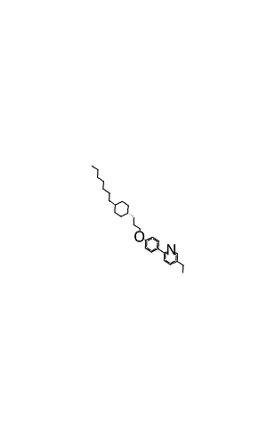 CCCCCCC[C@H]1CC[C@H](CCCOc2ccc(-c3ccc(CC)cn3)cc2)CC1